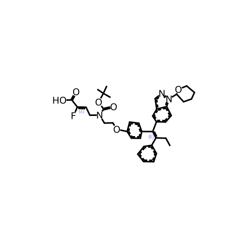 CC/C(=C(/c1ccc(OCCN(C/C=C(\F)C(=O)O)C(=O)OC(C)(C)C)cc1)c1ccc2c(cnn2C2CCCCO2)c1)c1ccccc1